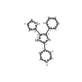 c1ccc(-c2nc(-c3ccncc3)[nH]c2-c2cccs2)cc1